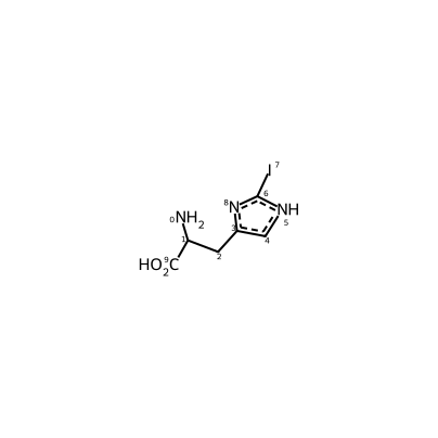 NC(Cc1c[nH]c(I)n1)C(=O)O